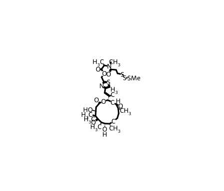 CSSSCCC(=O)N(C)C(C)C(=O)OCc1nc(C=C(C)[C@@H]2C[C@@H]3O[C@]3(C)CCC[C@H](C)[C@H](O)[C@@H](C)C(=O)C(C)(C)[C@@H](O)CC(=O)O2)cs1